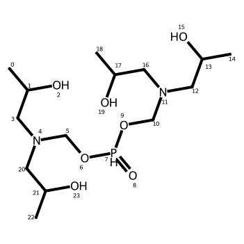 CC(O)CN(CO[PH](=O)OCN(CC(C)O)CC(C)O)CC(C)O